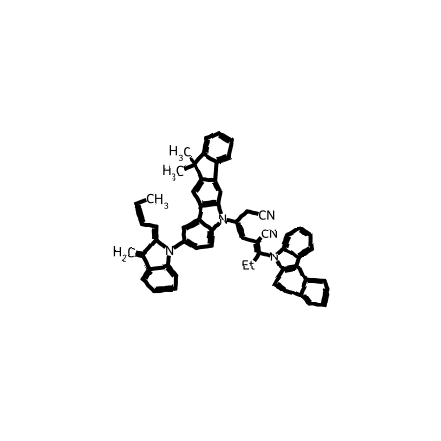 C=c1/c(=C\C=C/C)n(-c2ccc3c(c2)c2cc4c(cc2n3/C(=C/C(C#N)=C(\CC)n2c3ccccc3c3c5ccccc5ccc32)CC#N)-c2ccccc2C4(C)C)c2ccccc12